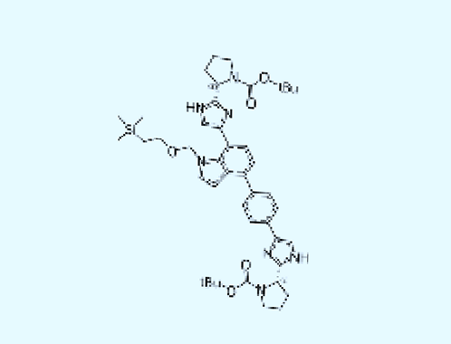 CC(C)(C)OC(=O)N1CCC[C@H]1c1nc(-c2ccc(-c3ccc(-c4c[nH]c([C@@H]5CCCN5C(=O)OC(C)(C)C)n4)c4c3ccn4COCC[Si](C)(C)C)cc2)c[nH]1